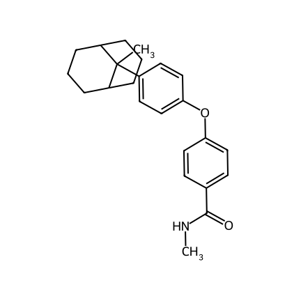 CNC(=O)c1ccc(Oc2ccc(C3(C)C4CCCC3CCC4)cc2)cc1